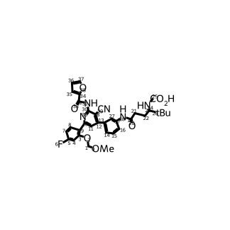 COCOc1cc(F)ccc1-c1cc(-c2cccc(NC(=O)CCC(NC(=O)O)C(C)(C)C)c2)c(C#N)c(NC(=O)c2ccco2)n1